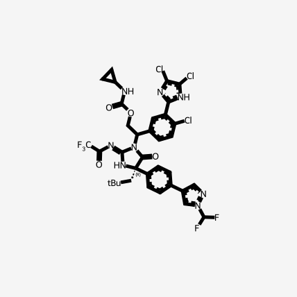 CC(C)(C)C[C@]1(c2ccc(-c3cnn(C(F)F)c3)cc2)NC(=NC(=O)C(F)(F)F)N(C(COC(=O)NC2CC2)c2ccc(Cl)c(-c3nc(Cl)c(Cl)[nH]3)c2)C1=O